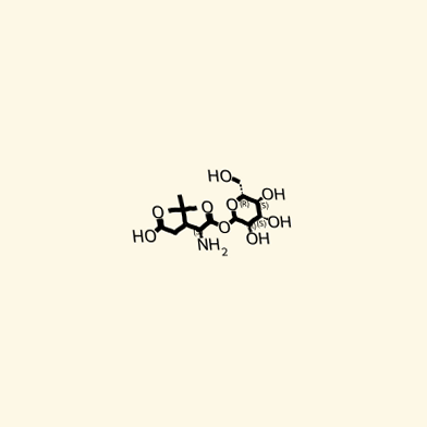 CC(C)(C)C(CC(=O)O)[C@H](N)C(=O)OC1O[C@H](CO)[C@@H](O)[C@H](O)[C@H]1O